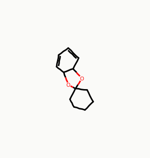 C1=CC2OC3(CCCCC3)OC2C=C1